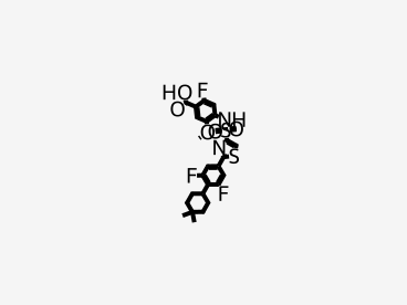 COc1cc(C(=O)O)c(F)cc1NS(=O)(=O)c1csc(-c2cc(F)c(C3CCC(C)(C)CC3)c(F)c2)n1